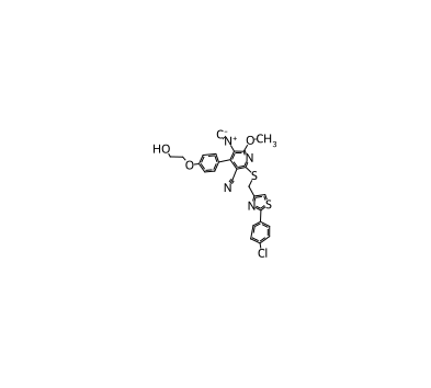 [C-]#[N+]c1c(OC)nc(SCc2csc(-c3ccc(Cl)cc3)n2)c(C#N)c1-c1ccc(OCCO)cc1